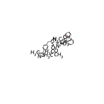 Cc1ncsc1-c1ccc(Cc2cnc([C@@H]3C[C@@H](O[Si](c4ccccc4)(c4ccccc4)C(C)(C)C)CN3C(=O)OC(C)(C)C)s2)cc1